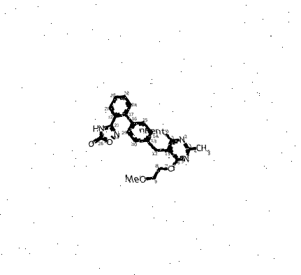 CCCCCc1nc(C)nc(OCCOC)c1Cc1ccc(-c2ccccc2-c2noc(=O)[nH]2)cc1